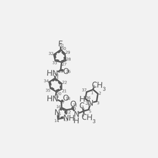 CC1CCN(CC(C)(C)NC(=O)c2[nH]cnc2C(=O)Nc2ccc(NC(=O)c3ccc(F)cc3)cc2)CC1